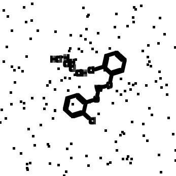 Cl.Cl.Cl.Cl.Clc1ccccc1[O][W][O]c1ccccc1Cl